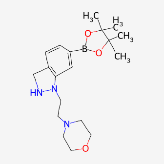 CC1(C)OB(c2ccc3c(c2)N(CCN2CCOCC2)NC3)OC1(C)C